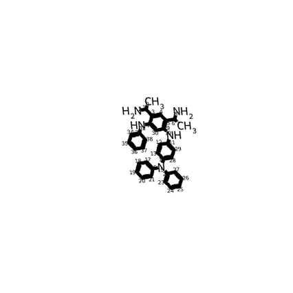 CC(N)c1cc(C(C)N)c(Nc2ccc(N(c3ccccc3)c3ccccc3)cc2)cc1Nc1ccccc1